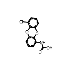 O=C(O)Nc1cccc2c1Sc1cccc(Cl)c1O2